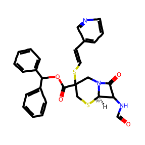 O=CNC1C(=O)N2CC(SC=Cc3cccnc3)(C(=O)OC(c3ccccc3)c3ccccc3)CS[C@H]12